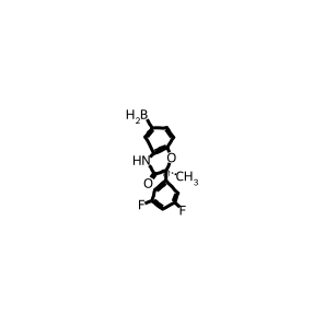 Bc1ccc2c(c1)NC(=O)[C@](C)(c1cc(F)cc(F)c1)O2